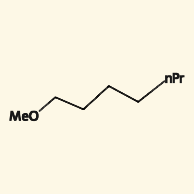 [CH2]CCCCCCO[CH2]